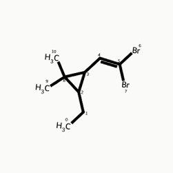 CCC1C(C=C(Br)Br)C1(C)C